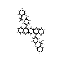 O=S1(=O)c2ccccc2Sc2ccc(-n3c4ccccc4oc4cc5c(cc43)oc3ccccc3n5-c3ccc4c(c3)S(=O)(=O)c3ccccc3S4)cc21